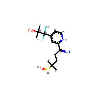 CC(C)(CCC(=N)c1cc(C(F)(F)C(C)(C)O)ccn1)[S+]=O